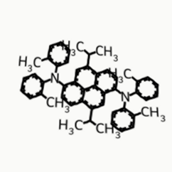 Cc1ccccc1N(c1ccccc1C)c1ccc2c(C(C)C)cc3c(N(c4ccccc4C)c4ccccc4C)ccc4c(C(C)C)cc1c2c43